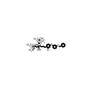 COP(=O)(CCC(CO)(CCCCc1ccc(Sc2cccc(OCc3ccccc3)c2)cc1Cl)NC(=O)OC(C)(C)C)OC